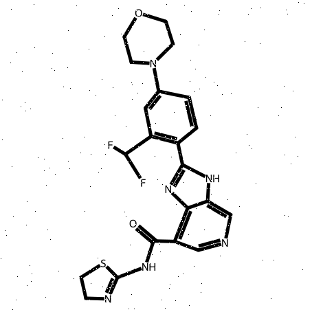 O=C(NC1=NCCS1)c1cncc2[nH]c(-c3ccc(N4CCOCC4)cc3C(F)F)nc12